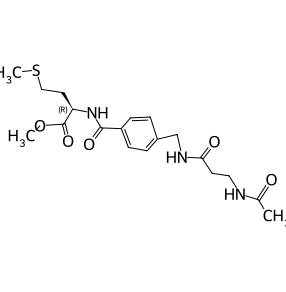 COC(=O)[C@@H](CCSC)NC(=O)c1ccc(CNC(=O)CCNC(C)=O)cc1